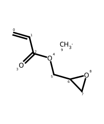 C=CC(=O)OCC1CO1.[CH3]